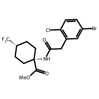 COC(=O)[C@]1(NC(=O)Cc2cc(Br)ccc2Cl)CC[C@@H](C(F)(F)F)CC1